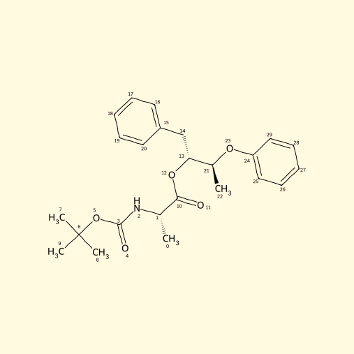 C[C@H](NC(=O)OC(C)(C)C)C(=O)O[C@H](Cc1ccccc1)[C@H](C)Oc1ccccc1